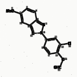 COc1ccc2nn(-c3ccc(OC=O)c(Cl)c3)nc2c1